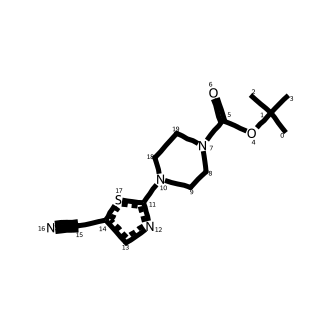 CC(C)(C)OC(=O)N1CCN(c2ncc(C#N)s2)CC1